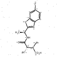 CC(C)[C@H](C(=O)N[C@@H](C)c1nc2ccc(F)cc2s1)N(C(=O)O)C(C)C